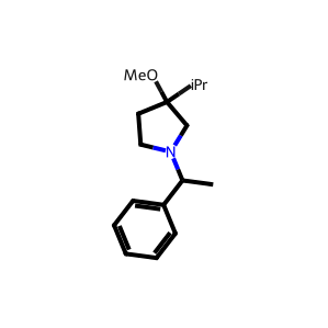 COC1(C(C)C)CCN(C(C)c2ccccc2)C1